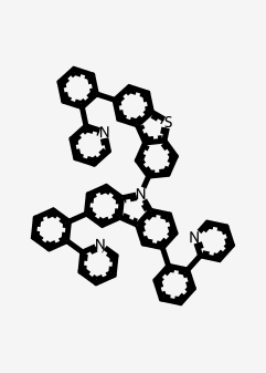 c1ccc(-c2ccccc2-c2ccc3sc4ccc(-n5c6ccc(-c7ccccc7-c7ccccn7)cc6c6cc(-c7ccccc7-c7ccccn7)ccc65)cc4c3c2)nc1